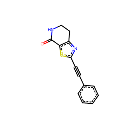 O=C1NCCc2nc(C#Cc3ccccc3)sc21